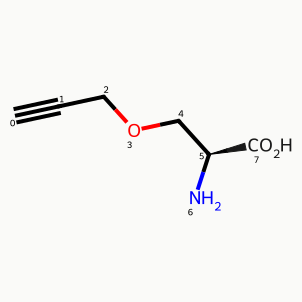 C#CCOC[C@H](N)C(=O)O